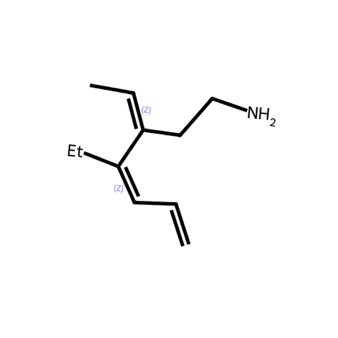 C=C/C=C(CC)\C(=C/C)CCN